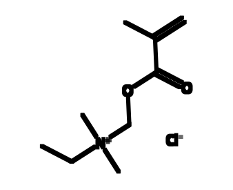 C=C(C)C(=O)OC[N+](C)(C)CC.[Cl-]